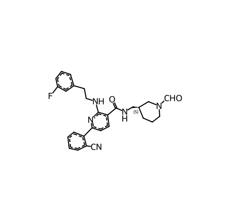 N#Cc1ccccc1-c1ccc(C(=O)NC[C@@H]2CCCN(C=O)C2)c(NCCc2cccc(F)c2)n1